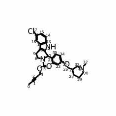 CC#CCOC(=O)N1CCc2c([nH]c3ccc(Cl)cc23)C1c1ccc(OCC2CCCN(C)C2)cc1